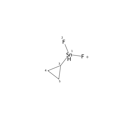 [F][SnH]([F])[CH]1CC1